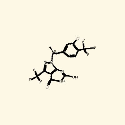 C[C@@H](c1ccc(C(F)(F)F)c(Cl)c1)n1nc(C(F)(F)F)c2c(=O)[nH]c(O)nc21